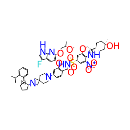 COC(C)COc1nc2[nH]cc(F)c2cc1Oc1cc(N2CCC3(CC2)CN(C2CCC[C@H]2c2ccccc2C(C)C)C3)ccc1C(=O)NS(=O)(=O)c1cc2c(c([N+](=O)[O-])c1)N[C@@H]([C@H]1CC[C@](C)(O)CC1)CO2